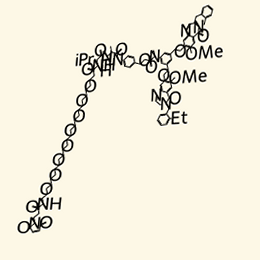 CCc1ccccc1CN1CC=Nc2cc(OCc3cc(COc4cc5c(cc4OC)C(=O)N4Cc6ccccc6CC4C=N5)cc(N(C)C(=O)OCc4ccc(NC(=O)[C@H](C)NC(=O)[C@@H](NC(=O)CCOCCOCCOCCOCCOCCOCCOCCOCCNC(=O)CCN5C(=O)C=CC5=O)C(C)C)cc4)c3)c(OC)cc2C1=O